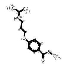 CSC(=O)c1ccc(OCCCNC(C)C)cc1